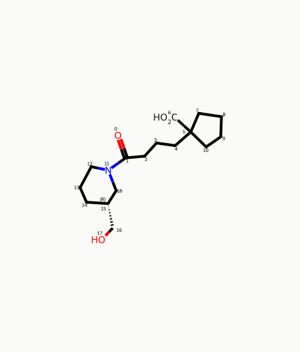 O=C(CCCC1(C(=O)O)CCCC1)N1CCC[C@@H](CO)C1